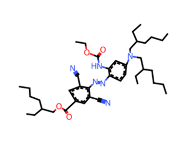 CCCCC(CC)COC(=O)c1cc(C#N)c(N=Nc2ccc(N(CC(CC)CCCC)CC(CC)CCCC)cc2NC(=O)OCC)c(C#N)c1